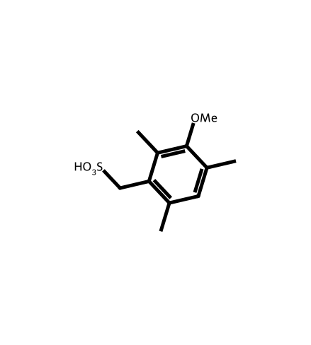 COc1c(C)cc(C)c(CS(=O)(=O)O)c1C